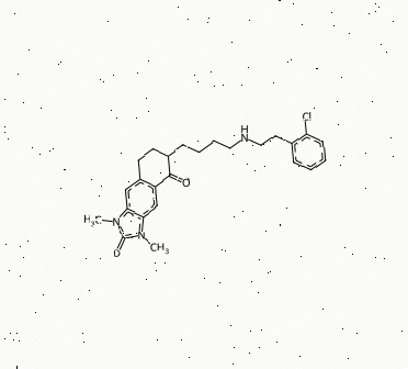 Cn1c(=O)n(C)c2cc3c(cc21)CCC(CCCCNCCc1ccccc1Cl)C3=O